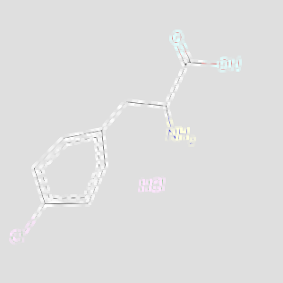 Cl.NC(Cc1ccc(Cl)cc1)C(=O)O